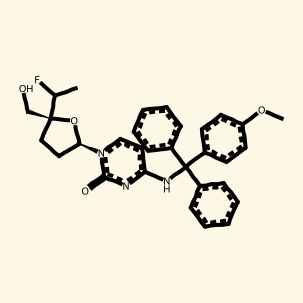 COc1ccc(C(Nc2ccn([C@H]3CC[C@](CO)(C(C)F)O3)c(=O)n2)(c2ccccc2)c2ccccc2)cc1